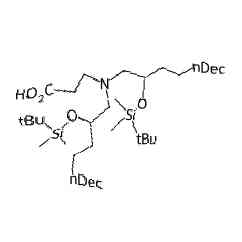 CCCCCCCCCCCCC(CN(CCC(=O)O)CC(CCCCCCCCCCCC)O[Si](C)(C)C(C)(C)C)O[Si](C)(C)C(C)(C)C